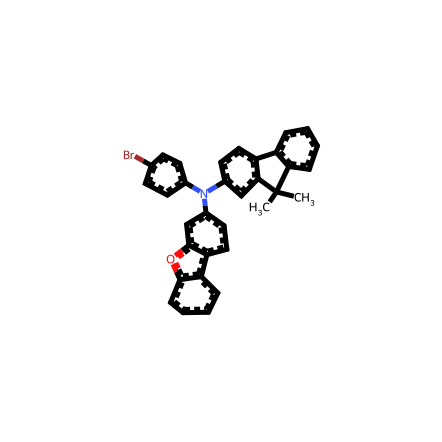 CC1(C)c2ccccc2-c2ccc(N(c3ccc(Br)cc3)c3ccc4c(c3)oc3ccccc34)cc21